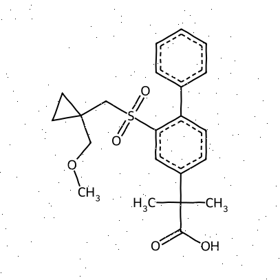 COCC1(CS(=O)(=O)c2cc(C(C)(C)C(=O)O)ccc2-c2ccccc2)CC1